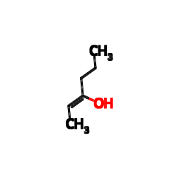 CC=C(O)CCC